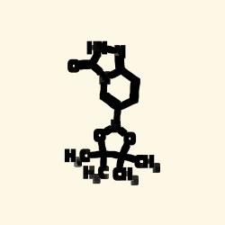 CC1(C)OB(c2ccc3n[nH]c(=O)n3c2)OC1(C)C